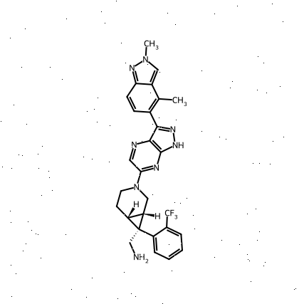 Cc1c(-c2n[nH]c3nc(N4CC[C@@H]5[C@H](C4)[C@@]5(CN)c4ccccc4C(F)(F)F)cnc23)ccc2nn(C)cc12